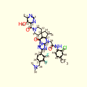 Cc1ncnc(C(=O)N2CCC3(CC2)CC(C)c2c3c(=O)n3nc(-c4ccc(CN(C)C)c(F)c4F)nc3n2CC(=O)Nc2ccc(C(F)(F)F)cc2Cl)c1O